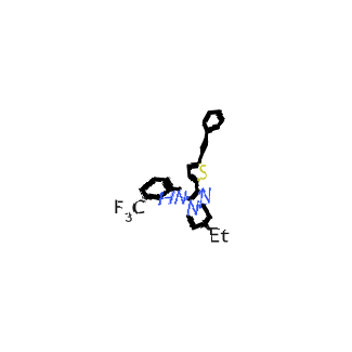 CCc1ccn2c(NCc3cccc(C(F)(F)F)c3)c(-c3ccc(C#Cc4ccccc4)s3)nc2c1